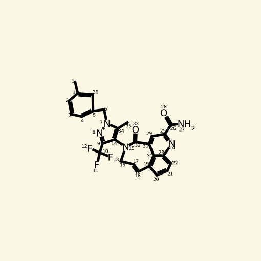 Cc1cccc(Cn2nc(C(F)(F)F)c(N3C/C=C/c4cccc5nc(C(N)=O)cc(c45)C3=O)c2C)c1